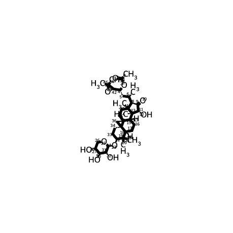 CC(=O)O[C@H](C[C@@H](C)[C@H]1C(=O)[C@H](O)[C@@]2(C)[C@@H]3CC[C@H]4C(C)(C)[C@@H](O[C@@H]5OC[C@@H](O)[C@H](O)[C@H]5O)CC[C@@]45C[C@@]35CC[C@]12C)[C@@H]1OC1(C)C